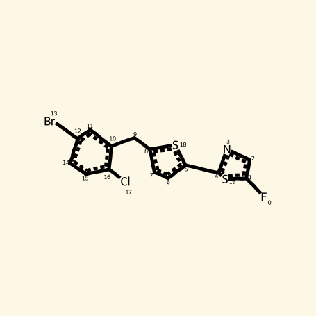 Fc1cnc(-c2ccc(Cc3cc(Br)ccc3Cl)s2)s1